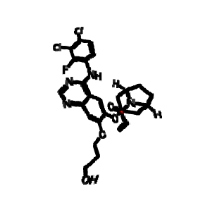 C=CC(=O)N1[C@@H]2CC[C@H]1CC(Oc1cc3c(Nc4ccc(Cl)c(Cl)c4F)ncnc3cc1OCCCO)C2